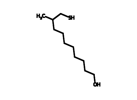 CC(CS)CCCCCCCCO